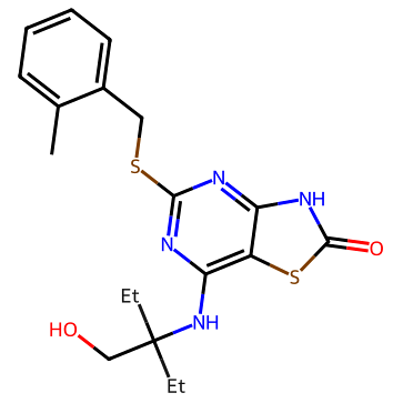 CCC(CC)(CO)Nc1nc(SCc2ccccc2C)nc2[nH]c(=O)sc12